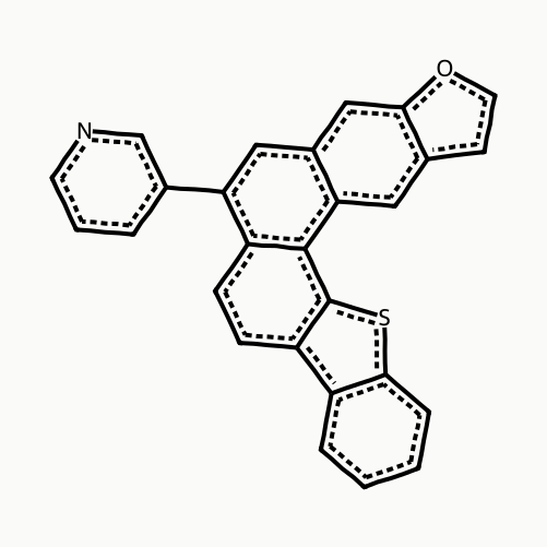 c1cncc(-c2cc3cc4occc4cc3c3c2ccc2c4ccccc4sc23)c1